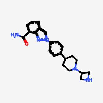 NC(=O)c1cccc2cn(-c3ccc(C4CCN(C5CNC5)CC4)cc3)nc12